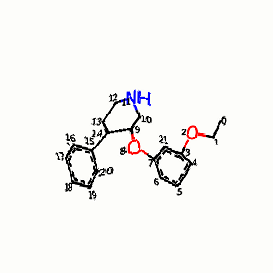 CCOc1cccc(OC2CNCCC2c2[c]cccc2)c1